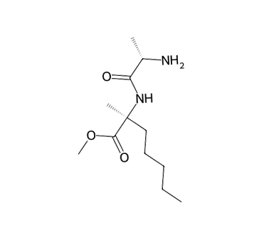 CCCCC[C@](C)(NC(=O)[C@H](C)N)C(=O)OC